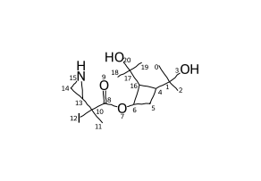 CC(C)(O)C1CC(OC(=O)C(C)(I)C2CN2)C1C(C)(C)O